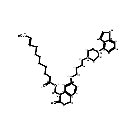 CCCCCCCCC=CCCCCCCCC(=O)OCN1C(=O)CCc2ccc(OCCCCN3CCN(c4cccc5sccc45)CC3)cc21